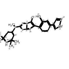 CN(c1nn2c(Cl)c(-c3ccc(-c4cn[nH]c4)cc3O)nc2s1)C1CC(C)(C)NC(C)(C)C1